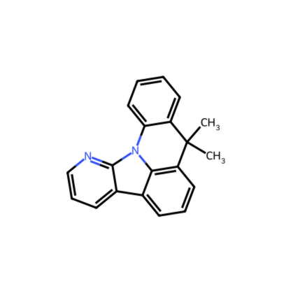 CC1(C)c2ccccc2-n2c3ncccc3c3cccc1c32